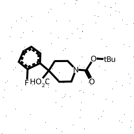 CC(C)(C)OC(=O)N1CCC(C(=O)O)(c2ccccc2F)CC1